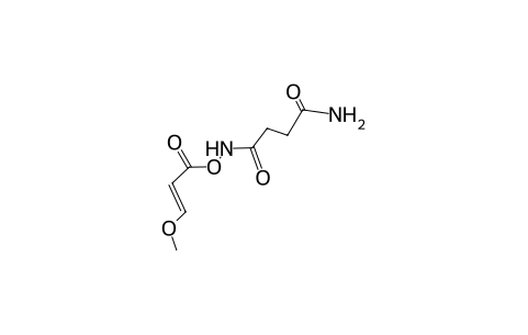 COC=CC(=O)ONC(=O)CCC(N)=O